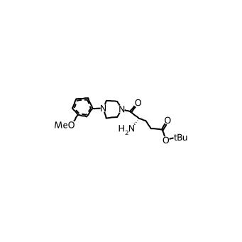 COc1cccc(N2CCN(C(=O)[C@@H](N)CCC(=O)OC(C)(C)C)CC2)c1